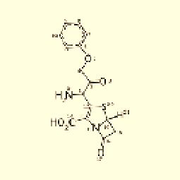 NC(C(=O)COc1ccccc1)C1=C(C(=O)O)N2C(=O)C[C@H]2S1